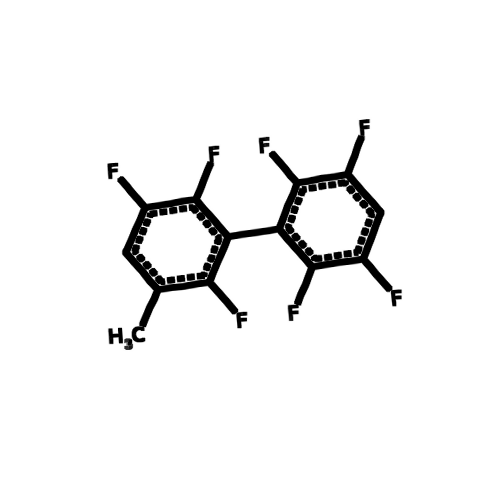 Cc1cc(F)c(F)c(-c2c(F)c(F)cc(F)c2F)c1F